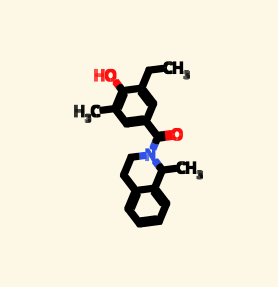 CCc1cc(C(=O)N2CCc3ccccc3C2C)cc(C)c1O